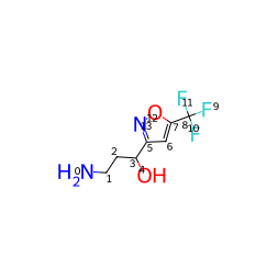 NCCC(O)c1cc(C(F)(F)F)on1